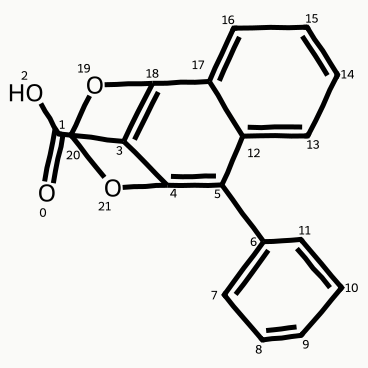 O=C(O)c1c2c(-c3ccccc3)c3ccccc3c1OCO2